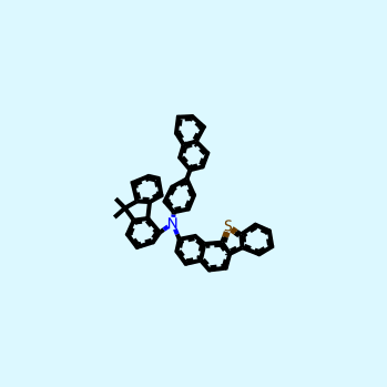 CC1(C)c2ccccc2-c2c(N(c3ccc(-c4ccc5ccccc5c4)cc3)c3ccc4ccc5c6ccccc6sc5c4c3)cccc21